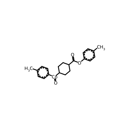 Cc1ccc(OC(=O)C2CC[CH]([Co](=[O])[c]3ccc(C)cc3)CC2)cc1